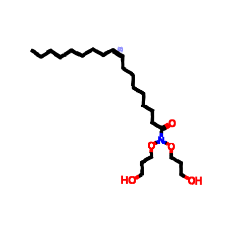 CCCCCCCC/C=C\CCCCCCCC(=O)N(OCCCO)OCCCO